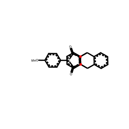 COc1ccc(N2C(=O)C3=C(C2=O)C2c4ccccc4C3c3ccccc32)cc1